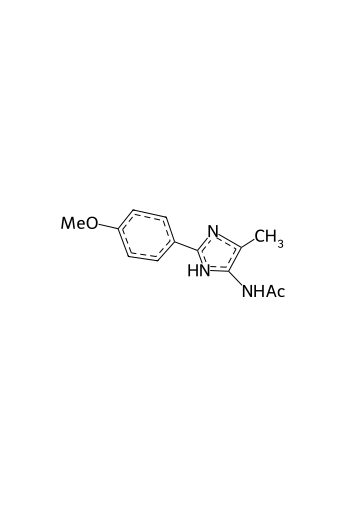 COc1ccc(-c2nc(C)c(NC(C)=O)[nH]2)cc1